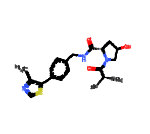 CC(=O)N[C@H](C(=O)N1CC(O)C[C@H]1C(=O)NCc1ccc(-c2scnc2C)cc1)C(C)(C)C